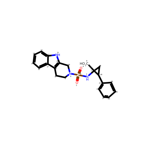 O=C(O)C1(NS(=O)(=O)N2CCc3c([nH]c4ccccc34)C2)CC1c1ccccc1